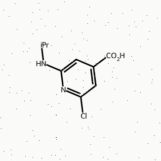 CC(C)Nc1cc(C(=O)O)cc(Cl)n1